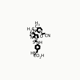 C[C@@H]1CCN(C(=O)CC#N)C[C@@H]1N(C)c1ncnc2c1ccn2C(=S)Nc1ccc(CNC(=O)O)cc1